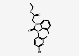 CCOC(=O)Cn1c(=O)n(-c2ccc(Br)nc2C)c2c(C)cccc21